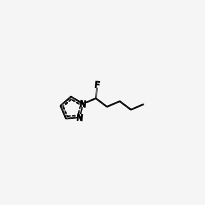 CCCCC(F)n1cccn1